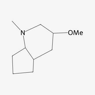 COC1CC2CCCC2N(C)C1